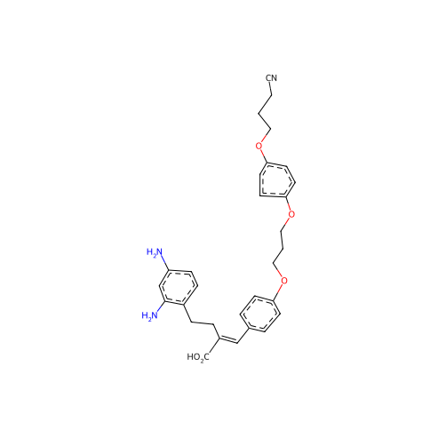 N#CCCCOc1ccc(OCCCOc2ccc(C=C(CCc3ccc(N)cc3N)C(=O)O)cc2)cc1